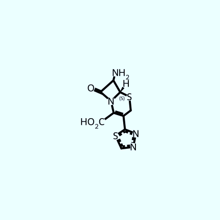 NC1C(=O)N2C(C(=O)O)=C(c3nncs3)CS[C@@H]12